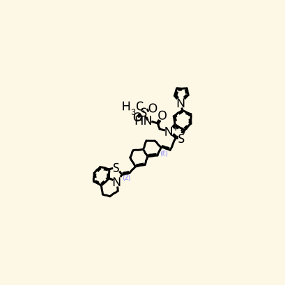 CS(=O)(=O)NC(=O)C[n+]1c(/C=C2/C=C3C=C(/C=C4\Sc5cccc6c5N4CCC6)CCC3CC2)sc2ccc(-n3cccc3)cc21